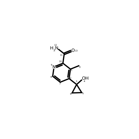 Cc1c(C2(O)CC2)ccnc1C(N)=O